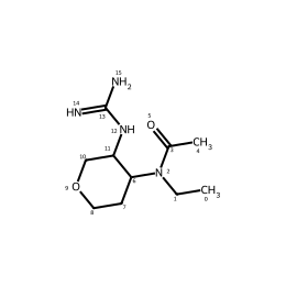 CCN(C(C)=O)C1CCOCC1NC(=N)N